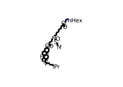 CCCCCC/C=C\COC(=O)CCCCCCCN(CCCC(=O)O[C@H]1CC[C@@]2(C)C(=CC[C@@H]3C2CC[C@@]2(C)C3CC[C@@H]2[C@H](C)CCCC(C)C)C1)C(=O)SCCN(C)C